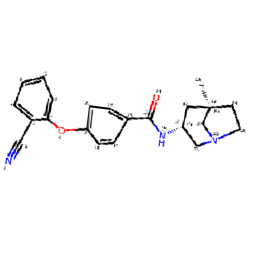 N#Cc1ccccc1Oc1ccc(C(=O)N[C@@H]2C[C@H]3CCN(C3)C2)cc1